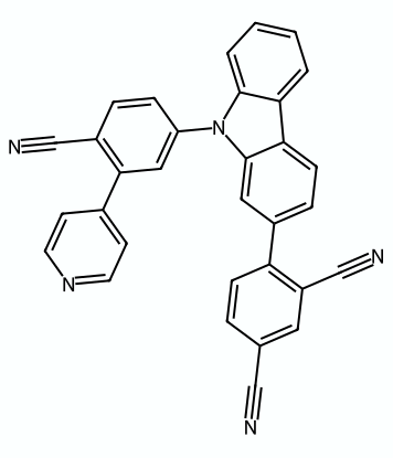 N#Cc1ccc(-c2ccc3c4ccccc4n(-c4ccc(C#N)c(-c5ccncc5)c4)c3c2)c(C#N)c1